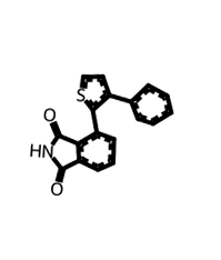 O=C1NC(=O)c2c1cccc2-c1sccc1-c1ccccc1